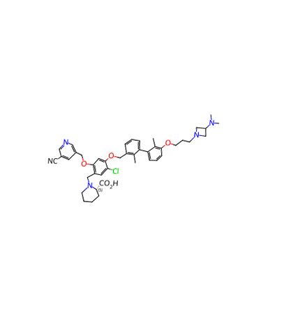 Cc1c(COc2cc(OCc3cncc(C#N)c3)c(CN3CCCC[C@H]3C(=O)O)cc2Cl)cccc1-c1cccc(OCCCN2CC(N(C)C)C2)c1C